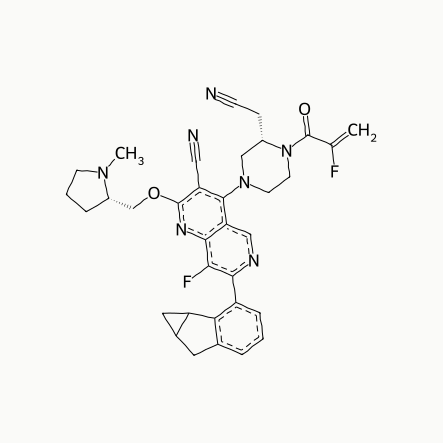 C=C(F)C(=O)N1CCN(c2c(C#N)c(OC[C@@H]3CCCN3C)nc3c(F)c(-c4cccc5c4C4CC4C5)ncc23)C[C@@H]1CC#N